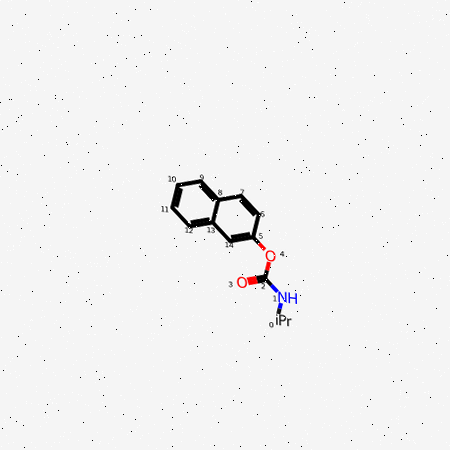 CC(C)NC(=O)Oc1ccc2ccccc2c1